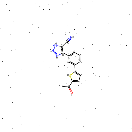 CC(=O)c1ccc(-c2cccc(-c3nn[nH]c3C#N)c2)s1